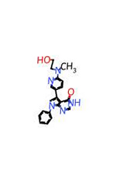 CN(CCO)c1ccc(-c2cn(-c3ccccc3)c3nc[nH]c(=O)c23)cn1